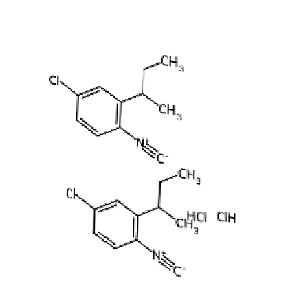 Cl.Cl.[C-]#[N+]c1ccc(Cl)cc1C(C)CC.[C-]#[N+]c1ccc(Cl)cc1C(C)CC